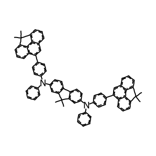 CC1(C)c2cc(N(c3ccccc3)c3ccc(-c4cc5cccc6c5c5c(cccc45)C6(C)C)cc3)ccc2-c2ccc(N(c3ccccc3)c3ccc(-c4cc5cccc6c5c5c(cccc45)C6(C)C)cc3)cc21